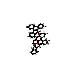 CC1(C)c2c(-c3c4ccccc4c(-c4ccccc4-c4ccc5oc6ccccc6c5c4)c4ccccc34)cccc2-c2c1c1ccccc1c1ccccc21